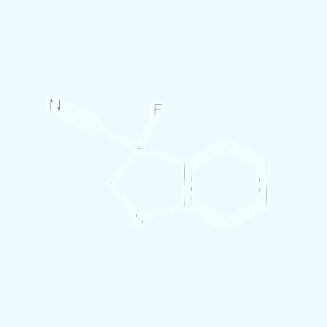 N#CC1(F)CSc2ccccc21